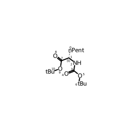 CCCCC[C@H](NC(=O)OC(C)(C)C)C(=O)OC(C)(C)C